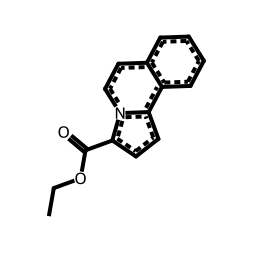 CCOC(=O)c1ccc2c3ccccc3ccn12